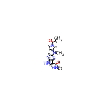 C=CC(=O)N1CC[C@H](N(C)c2cnc3[nH]cc(C(=O)NCC)c3n2)C1